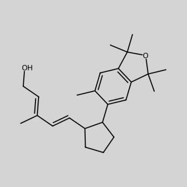 CC(C=CC1CCCC1c1cc2c(cc1C)C(C)(C)OC2(C)C)=CCO